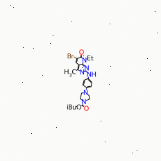 CCn1c(=O)c(Br)cc2c(C)nc(Nc3ccc(N4CCN(C(=O)OCC(C)C)CC4)cc3)nc21